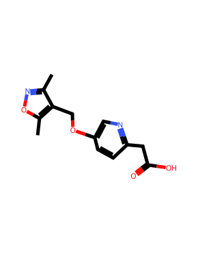 Cc1noc(C)c1COc1ccc(CC(=O)O)nc1